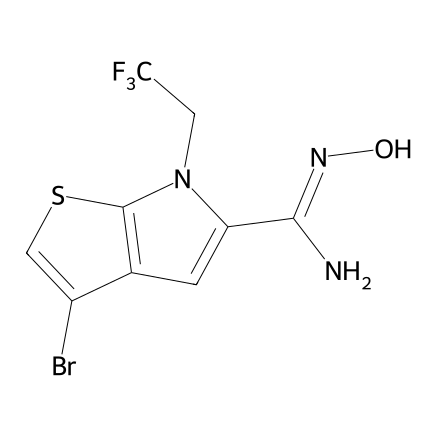 NC(=NO)c1cc2c(Br)csc2n1CC(F)(F)F